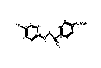 COc1ccc(C(=O)COc2ccc(F)cc2)cc1